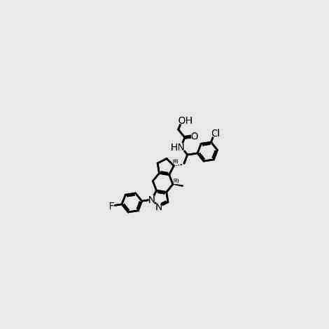 C[C@@H]1C2=C(CC[C@@H]2CC(NC(=O)CO)c2cccc(Cl)c2)Cc2c1cnn2-c1ccc(F)cc1